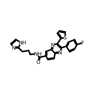 O=C(NCCCc1ncc[nH]1)c1ccc2nc(-c3ccc(F)cc3)c(-c3cccs3)nc2c1